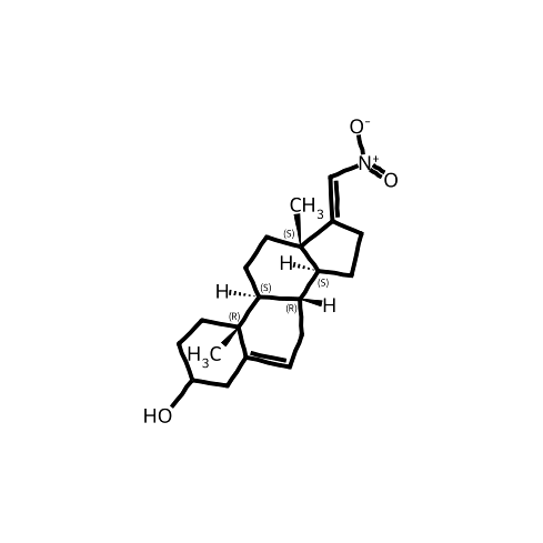 C[C@]12CCC(O)CC1=CC[C@@H]1[C@@H]2CC[C@]2(C)C(=C[N+](=O)[O-])CC[C@@H]12